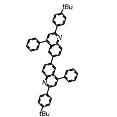 CC(C)(C)c1ccc(-c2cc(-c3ccccc3)c3cc(-c4ccc5nc(-c6ccc(C(C)(C)C)cc6)cc(-c6ccccc6)c5c4)ccc3n2)cc1